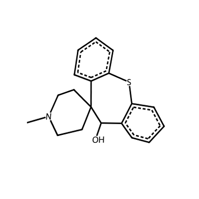 CN1CCC2(CC1)c1ccccc1Sc1ccccc1C2O